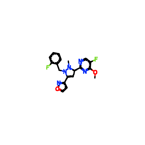 COc1nc(C2C=C(c3ccon3)N(Cc3ccccc3F)N2C)ncc1F